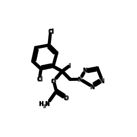 NC(=O)OC(I)(Cn1ncnn1)c1cc(Cl)ccc1Cl